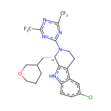 FC(F)(F)c1nc(N2CCc3c([nH]c4ccc(Cl)cc34)[C@@H]2CC2CCCOC2)nc(C(F)(F)F)n1